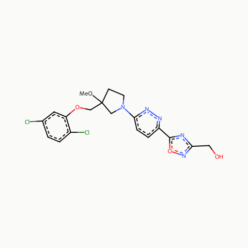 COC1(COc2cc(Cl)ccc2Cl)CCN(c2ccc(-c3nc(CO)no3)nn2)C1